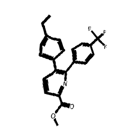 CCc1ccc(-c2ccc(C(=O)OC)nc2-c2ccc(C(F)(F)F)cc2)cc1